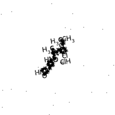 Cc1cc(C(=O)Nc2ccc(CN3CCNC(=O)C3)cc2)nn1Cc1cc(Cl)ccc1OCC(C)C.Cl